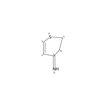 N=C1C=CSCC1